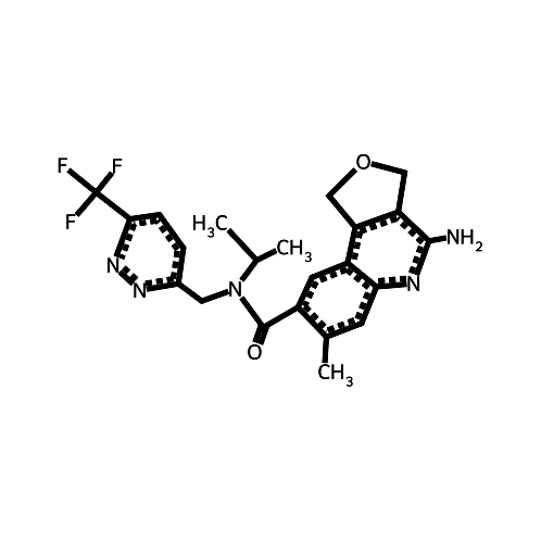 Cc1cc2nc(N)c3c(c2cc1C(=O)N(Cc1ccc(C(F)(F)F)nn1)C(C)C)COC3